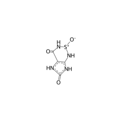 O=C1N[S+]([O-])Nc2[nH]c(=O)[nH]c21